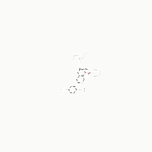 C=CC(=O)N1C2CCC1CN(c1nc(OCC34CCCN3CC(F)C4)cc3cc(-c4cc(O)cc(Cl)c4C4CC4)ncc13)C2